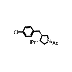 CC(=O)N1C[C@H](Cc2ccc(Cl)cc2)[C@@H](C(C)C)C1